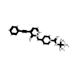 CC(C)(C)OC(=O)N1CCC(Cn2nccc(C#Cc3ccccc3)c2=O)CC1